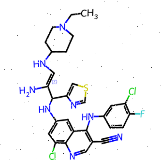 CCN1CCC(N/C=C(\N)C(Nc2cc(Cl)c3ncc(C#N)c(Nc4ccc(F)c(Cl)c4)c3c2)c2cscn2)CC1